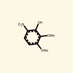 COc1ccc([N+](=O)[O-])c(O)c1OC